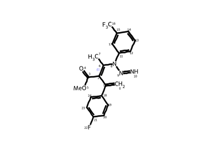 C=C(/C(C(=O)OC)=C(/C)N(N=N)c1cccc(C(F)(F)F)c1)c1ccc(F)cc1